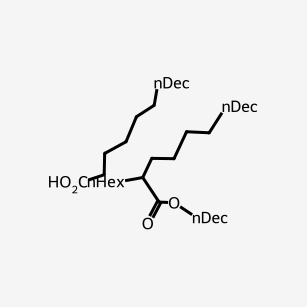 CCCCCCCCCCCCCCC(CCCCCC)C(=O)OCCCCCCCCCC.CCCCCCCCCCCCCCCC(=O)O